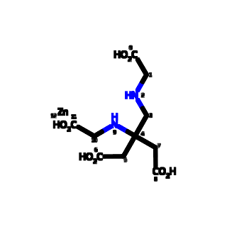 O=C(O)CNCC(CC(=O)O)(CC(=O)O)NCC(=O)O.[Zn]